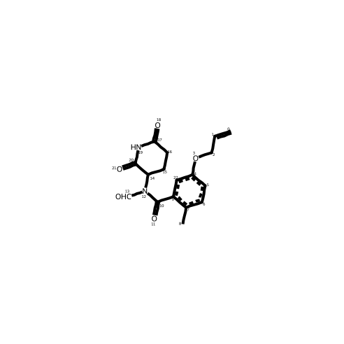 C=CCOc1ccc(C)c(C(=O)N(C=O)C2CCC(=O)NC2=O)c1